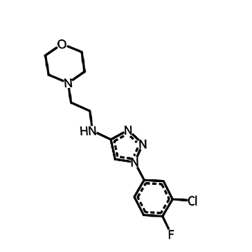 Fc1ccc(-n2cc(NCCN3CCOCC3)nn2)cc1Cl